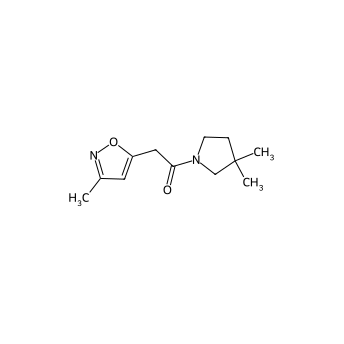 Cc1cc(CC(=O)N2CCC(C)(C)C2)on1